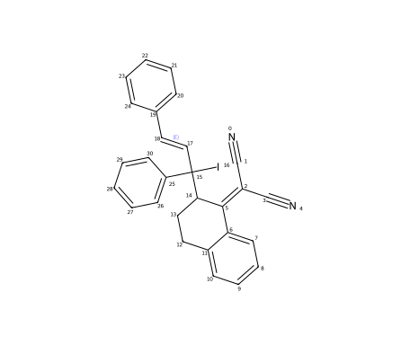 N#CC(C#N)=C1c2ccccc2CCC1C(I)(/C=C/c1ccccc1)c1ccccc1